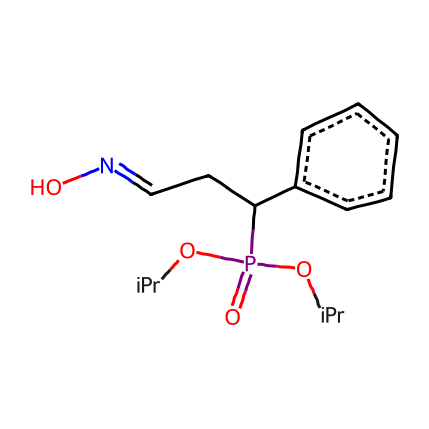 CC(C)OP(=O)(OC(C)C)C(CC=NO)c1ccccc1